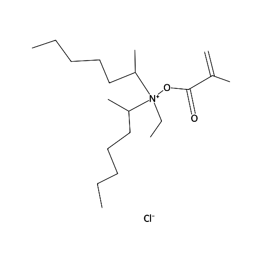 C=C(C)C(=O)O[N+](CC)(C(C)CCCCC)C(C)CCCCC.[Cl-]